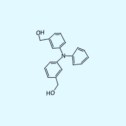 OCc1cccc(N(c2ccccc2)c2cccc(CO)c2)c1